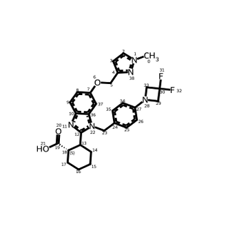 Cn1ccc(COc2ccc3nc(C4CCCC[C@@H]4C(=O)O)n(Cc4ccc(N5CC(F)(F)C5)cc4)c3c2)n1